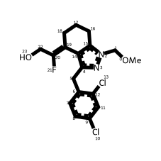 COCn1nc(Cc2ccc(Cl)cc2Cl)c2c1CCC/C2=C(/F)CO